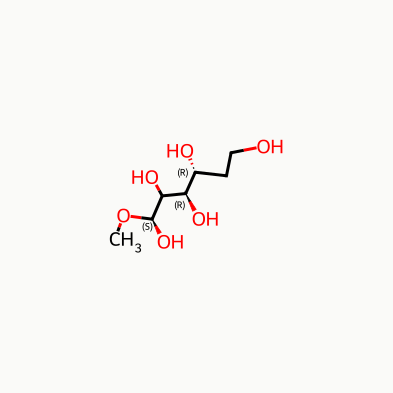 CO[C@H](O)C(O)[C@H](O)[C@H](O)CCO